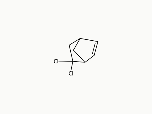 ClC1(Cl)CC2C=CC1C2